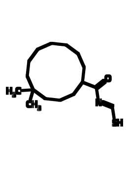 CC1(C)CCCCCCCC(C(=O)N=CS)CCC1